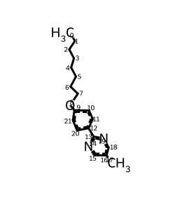 CCCCCCCCOc1ccc(-c2ncc(C)cn2)cc1